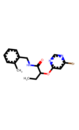 CCC(Oc1cc(Br)ncn1)C(=O)NCc1ccccc1C